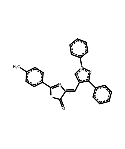 Cc1ccc(C2=N/C(=C\c3cn(-c4ccccc4)nc3-c3ccccc3)C(=O)O2)cc1